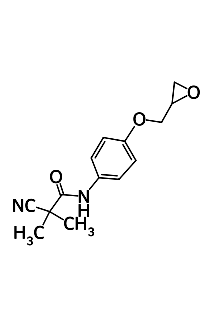 CC(C)(C#N)C(=O)Nc1ccc(OCC2CO2)cc1